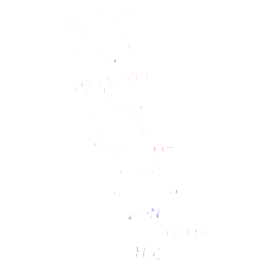 CC(=O)N1CCC2c3ccc(S(=O)(=O)c4ccccc4)cc3OC2C1